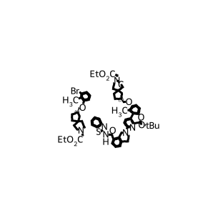 CCOC(=O)CN1CCC2(CC[C@H](COc3cccc(-c4ccc(N5CCc6cccc(C(=O)Nc7nc8ccccc8s7)c6C5)nc4C(=O)OC(C)(C)C)c3C)C2)CC1.CCOC(=O)CN1CCC2(CC[C@H](COc3cccc(Br)c3C)C2)CC1